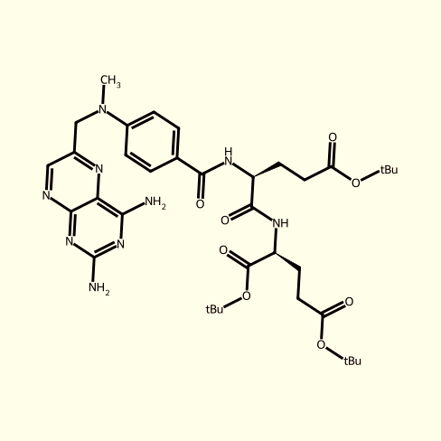 CN(Cc1cnc2nc(N)nc(N)c2n1)c1ccc(C(=O)N[C@@H](CCC(=O)OC(C)(C)C)C(=O)N[C@@H](CCC(=O)OC(C)(C)C)C(=O)OC(C)(C)C)cc1